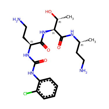 C[C@H](CCN)NC(=O)[C@@H](NC(=O)[C@H](CCN)NC(=O)Nc1ccccc1Cl)[C@@H](C)O